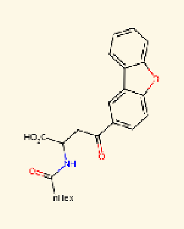 CCCCCCC(=O)NC(CC(=O)c1ccc2oc3ccccc3c2c1)C(=O)O